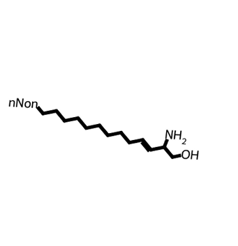 CCCCCCCCCCCCCCCCCC/C=C/C(N)CO